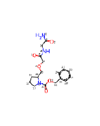 NC(=O)CNC(=O)COCC1CCCN1C(=O)OCc1ccccc1